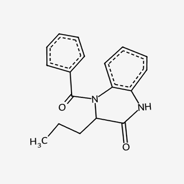 CCCC1C(=O)Nc2ccccc2N1C(=O)c1ccccc1